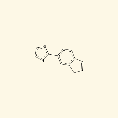 C1=Cc2ccc(-c3nccs3)cc2C1